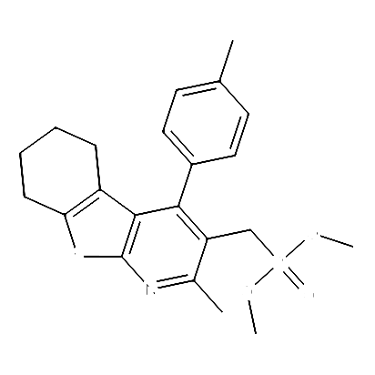 COP(=O)(Cc1c(C)nc2sc3c(c2c1-c1ccc(C)cc1)CCCC3)OC